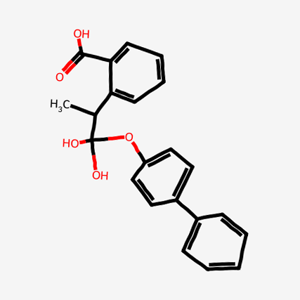 CC(c1ccccc1C(=O)O)C(O)(O)Oc1ccc(-c2ccccc2)cc1